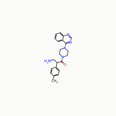 Cc1ccc(C(CN)C(=O)N2CCN(c3ncnc4ccccc34)CC2)cc1